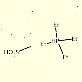 CC[PH](CC)(CC)CC.CS(=O)(=O)O